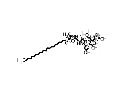 CCCCCCCCCCCCCCCCCCCCCC(=O)OC(=O)[C@H](C)NC(=O)CC[C@@H](NC(=O)[C@@H]1CC(O)CN1CC(C)O[C@H]1[C@H](O)[C@@H](CO)O[C@H](O)[C@@H]1NC(C)=O)C(N)=O